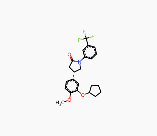 COc1ccc([C@@H]2CC(=O)N(c3cccc(C(F)(F)F)c3)C2)cc1OC1CCCC1